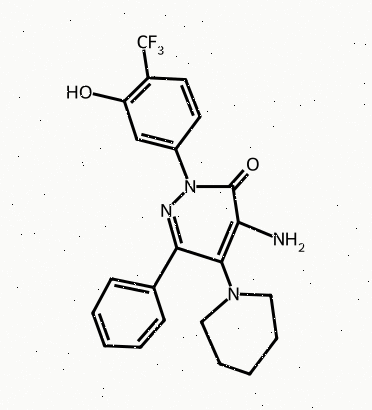 Nc1c(N2CCCCC2)c(-c2ccccc2)nn(-c2ccc(C(F)(F)F)c(O)c2)c1=O